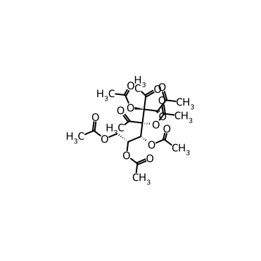 CC(=O)OC[C@@H](OC(C)=O)[C@@H](OC(C)=O)[C@@](OC(C)=O)(C(C)=O)[C@](OC(C)=O)(C(C)=O)C(=O)C(C)=O